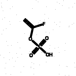 C=C(F)OS(=O)(=O)O